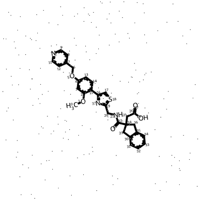 COc1cc(OCc2ccncc2)ccc1-c1csc(CNC(=O)C2(CC(=O)O)Cc3ccccc3C2)n1